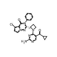 Nc1ncc(C(=O)C2CC2)c(N2CC[C@H]2c2nn3ccc(Cl)c3c(=O)n2-c2ccccc2)n1